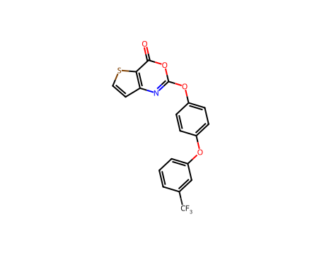 O=c1oc(Oc2ccc(Oc3cccc(C(F)(F)F)c3)cc2)nc2ccsc12